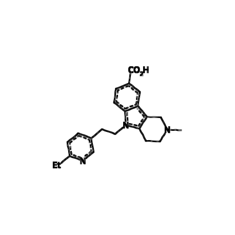 CCc1ccc(CCn2c3c(c4cc(C(=O)O)ccc42)CN(C)CC3)cn1